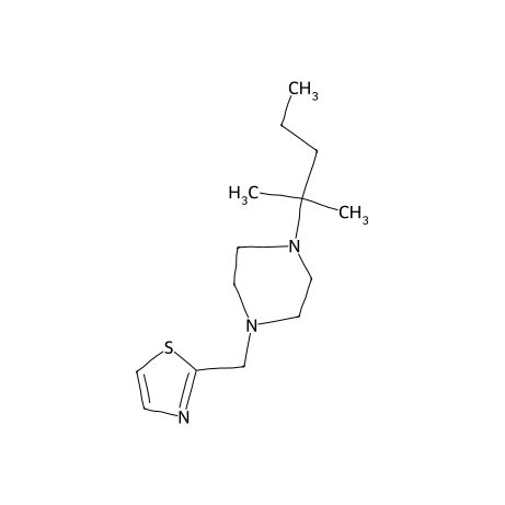 CCCC(C)(C)N1CCN(Cc2nccs2)CC1